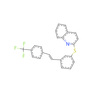 FC(F)(F)c1ccc(C=Cc2cccc(Sc3ccc4ccccc4n3)c2)cc1